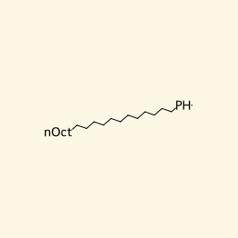 CCCCCCCCCCCCCCCCCCCC[PH]